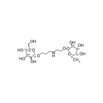 C[C@@H]1O[C@@H](OCCNCCCO[C@H]2O[C@H](CO)[C@@H](O)[C@H](O)[C@@H]2O)[C@@H](O)[C@H](O)[C@@H]1O